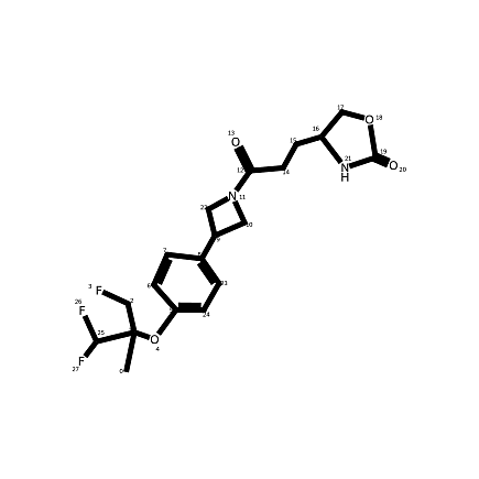 CC(CF)(Oc1ccc(C2CN(C(=O)CCC3COC(=O)N3)C2)cc1)C(F)F